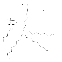 CCCCCCCC[N+](CCCCCCCC)(CCCCCCCC)CCCCCCCC.CCCCNS(=O)(=O)C(F)(F)F